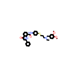 CCN(CCCSc1ccc(NC(=O)c2cccc3c(=O)cc(-c4ccccc4)[nH]c23)cc1)Cc1ccc(OC)c(OC)c1